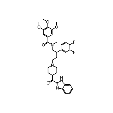 COc1cc(C(=O)N(C)CC(CCN2CCC(C(=O)c3nc4ccccc4[nH]3)CC2)c2ccc(F)c(F)c2)cc(OC)c1OC